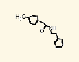 Cc1ccc(CC(=O)NCCc2ccccc2)cc1